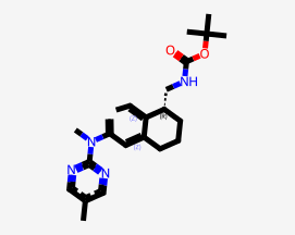 C=C(/C=C1/CCC[C@@H](CNC(=O)OC(C)(C)C)/C1=C/C)N(C)c1ncc(C)cn1